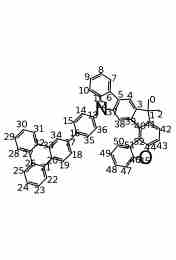 CC1(C)c2cc3c4ccccc4n(-c4ccc(-c5ccc6c7ccccc7c7ccccc7c6c5)cc4)c3cc2-c2c1ccc1oc3ccccc3c21